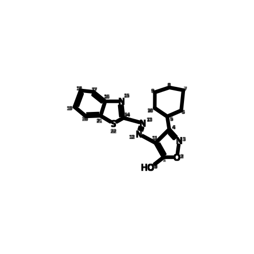 Oc1onc(C2CCCCC2)c1N=Nc1nc2ccccc2s1